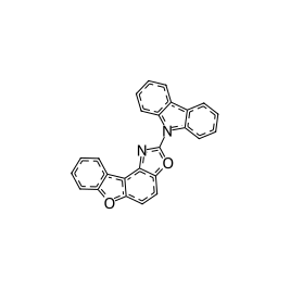 c1ccc2c(c1)oc1ccc3oc(-n4c5ccccc5c5ccccc54)nc3c12